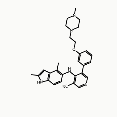 Cc1cc2c(C)c(Nc3c(C#N)cncc3-c3cccc(OCCN4CCN(C)CC4)c3)ccc2[nH]1